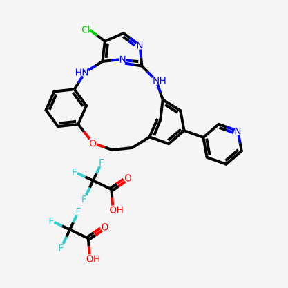 Clc1cnc2nc1Nc1cccc(c1)OCCc1cc(cc(-c3cccnc3)c1)N2.O=C(O)C(F)(F)F.O=C(O)C(F)(F)F